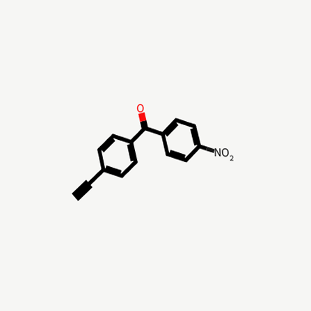 C#Cc1ccc(C(=O)c2ccc([N+](=O)[O-])cc2)cc1